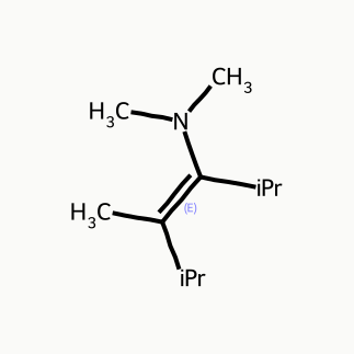 C/C(=C(/C(C)C)N(C)C)C(C)C